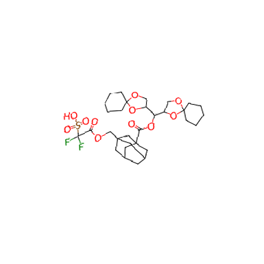 O=C(OC(C1COC2(CCCCC2)O1)C1COC2(CCCCC2)O1)C12CC3CC(CC(COC(=O)C(F)(F)S(=O)(=O)O)(C3)C1)C2